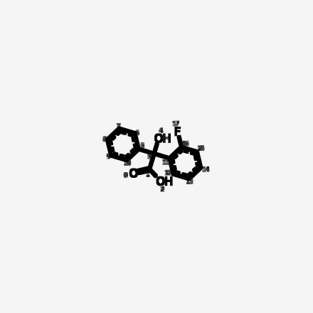 O=C(O)C(O)(c1ccccc1)c1ccccc1F